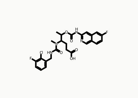 CC(OC(=O)Nc1cc2cc(F)ccc2cn1)C(CCC(=O)O)N(C)C(=O)NCc1cccc(F)c1Cl